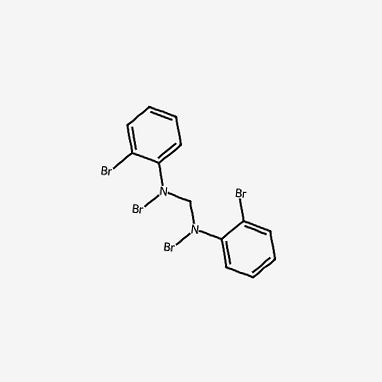 Brc1ccccc1N(Br)CN(Br)c1ccccc1Br